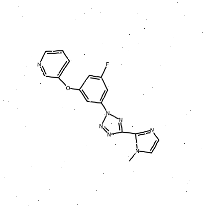 Cn1ccnc1-c1nnn(-c2cc(F)cc(Oc3cccnc3)c2)n1